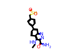 CCNc1c(C(N)=O)nnc2cc(-c3ccc(C[SH](=O)=O)cc3)ccc12